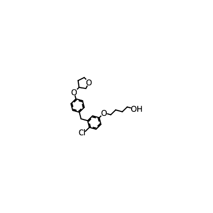 OCCCCOc1ccc(Cl)c(Cc2ccc(OC3CCOC3)cc2)c1